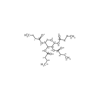 CCCC(=O)OC1COC(OC(=O)CCC)C(OC(=O)CCC)C1OC(=O)CCC